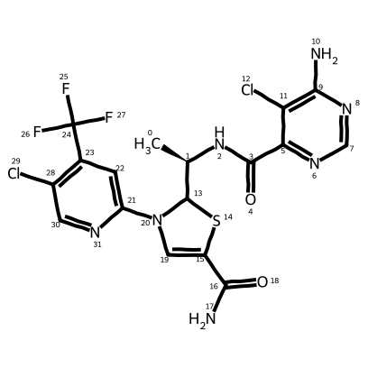 C[C@@H](NC(=O)c1ncnc(N)c1Cl)C1SC(C(N)=O)=CN1c1cc(C(F)(F)F)c(Cl)cn1